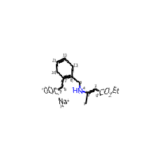 CCOC(=O)C=C(C)NCC1=C(CC(=O)[O-])CC=CC1.[Na+]